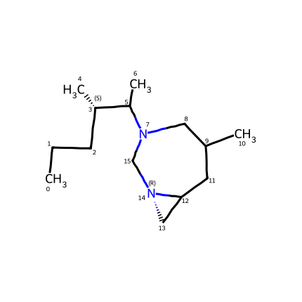 CCC[C@H](C)C(C)N1CC(C)CC2C[N@]2C1